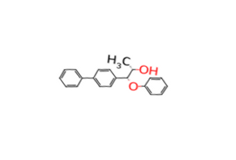 C[C@H](O)[C@H](Oc1ccccc1)c1ccc(-c2ccccc2)cc1